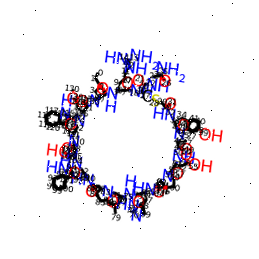 CCCC[C@H]1C(=O)N[C@@H](CCCNC(=N)N)C(=O)NC(C(=O)NCC(N)=O)CSCC(=O)N[C@@H](Cc2ccc(O)cc2)C(=O)N(C)[C@@H](C)C(=O)N[C@@H](CC(=O)O)C(=O)N2CCC[C@H]2C(=O)N[C@@H](Cc2cnc[nH]2)C(=O)N[C@@H](CC(C)C)C(=O)N2CCCC2C(=O)N[C@@H](Cc2c[nH]c3ccccc23)C(=O)N[C@@H](CO)C(=O)N[C@@H](Cc2c[nH]c3ccccc23)C(=O)N(C)[C@@H](CCOC)C(=O)N1C